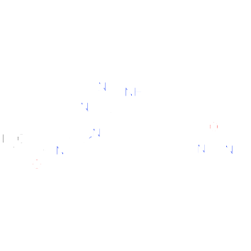 C=CC(=O)N1CC[C@H](n2cc(C#Cc3ccc4oc(N5CCC5)nc4c3)c3c(N)ncnc32)C1